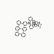 C[Si]1(C)Oc2ccccc2N(c2ccc3c(c2)c2cccc4c2-c2c(cccc2c2ccccc23)c2ccccc2c2ccccc42)c2ccccc21